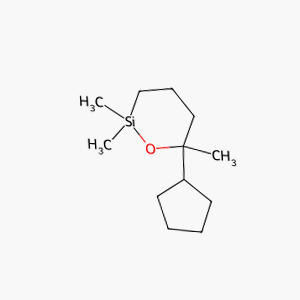 CC1(C2CCCC2)CCC[Si](C)(C)O1